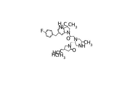 CC1CC(=O)N(C[C@H]2CN[C@H](C)CN2CC(=O)N2CC(C)(C)c3ncc(Cc4ccc(F)cc4)cc32)C1.Cl.Cl